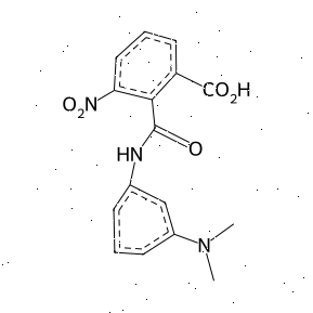 CN(C)c1cccc(NC(=O)c2c(C(=O)O)cccc2[N+](=O)[O-])c1